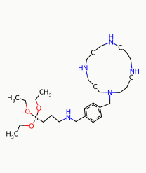 CCO[Si](CCCNCc1ccc(CN2CCCNCCCNCCCNCCC2)cc1)(OCC)OCC